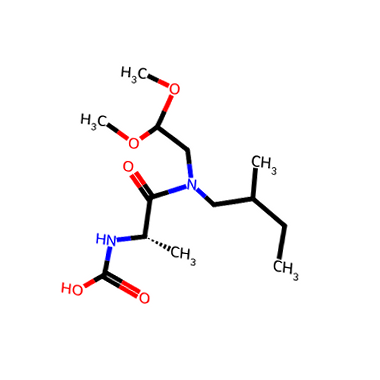 CCC(C)CN(CC(OC)OC)C(=O)[C@H](C)NC(=O)O